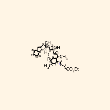 CCOC(=O)CC/C=C/c1cc(C)c(F)cc1[C@@H](C)OC[C@H](O)CNC(C)(C)CC1Cc2ccccc2C1